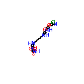 N#Cc1ccc(OC2CCC(NC(=O)c3ccc(NCCCCCCCCCCNc4ccc5c(c4)C(=O)N(C4CCC(=O)NC4=O)C5=O)cc3)CC2)cc1Cl